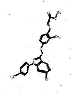 Cc1cc(SCc2nn(-c3ccc(C(F)(F)F)cc3)c3cc(Cl)ccc23)ccc1OCC(=O)OC(C)(C)C